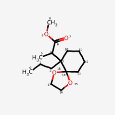 CCCC1(C(C)C(=O)OC)CCCCC12OCCO2